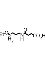 CCO[SiH2]CCCNC(=O)CCC(=O)O